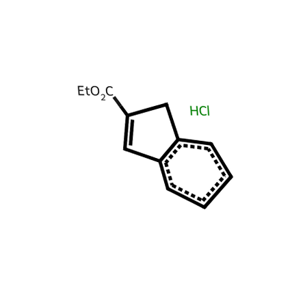 CCOC(=O)C1=Cc2ccccc2C1.Cl